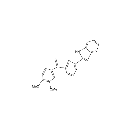 C=C(c1cccc(-c2cc3ccccc3[nH]2)c1)c1ccc(OC)c(OC)c1